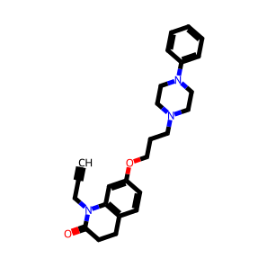 C#CCN1C(=O)CCc2ccc(OCCCN3CCN(c4ccccc4)CC3)cc21